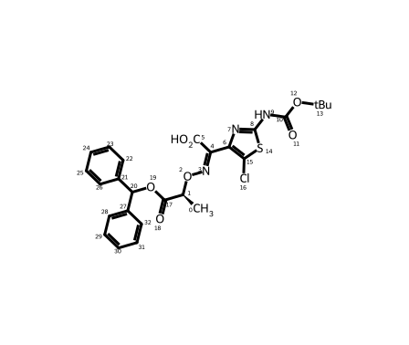 C[C@H](O/N=C(\C(=O)O)c1nc(NC(=O)OC(C)(C)C)sc1Cl)C(=O)OC(c1ccccc1)c1ccccc1